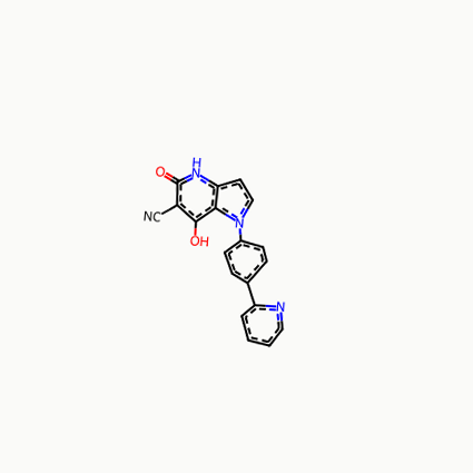 N#Cc1c(O)c2c(ccn2-c2ccc(-c3ccccn3)cc2)[nH]c1=O